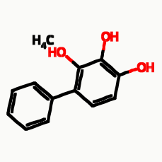 C.Oc1ccc(-c2ccccc2)c(O)c1O